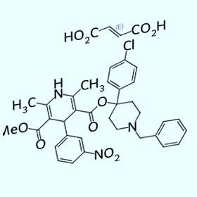 COC(=O)C1=C(C)NC(C)=C(C(=O)OC2(c3ccc(Cl)cc3)CCN(Cc3ccccc3)CC2)C1c1cccc([N+](=O)[O-])c1.O=C(O)/C=C/C(=O)O